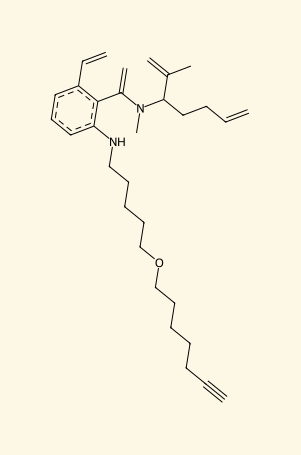 C#CCCCCCOCCCCCNc1cccc(C=C)c1C(=C)N(C)C(CCC=C)C(=C)C